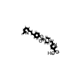 Cc1cccc(CCc2ccc(OC(=O)N3CCN(Cc4ccc(C(=O)O)cn4)CC3)cc2)n1